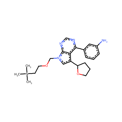 C[Si](C)(C)CCOCn1cc(C2CCCO2)c2c(-c3cccc(N)c3)ncnc21